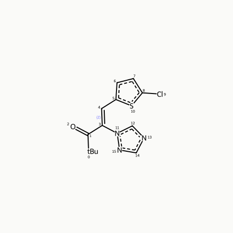 CC(C)(C)C(=O)/C(=C/c1ccc(Cl)s1)n1cncn1